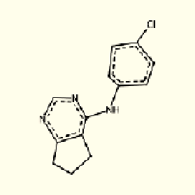 Clc1ccc(Nc2ncnc3c2CCC3)cc1